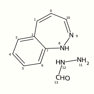 C1=Cc2ccccc2NN=C1.NNC=O